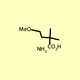 COCCC(C)(C)C(=O)O.N